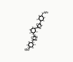 CC(C)Cc1ccc(-c2cnc(-c3cccc(-c4nnc(-c5ccc(C(C)(C)C)cc5)o4)c3)o2)cc1